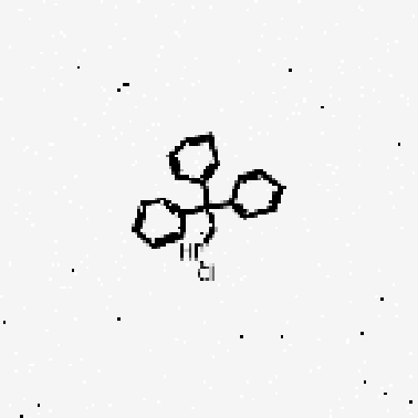 ClPCC(c1ccccc1)(c1ccccc1)c1ccccc1